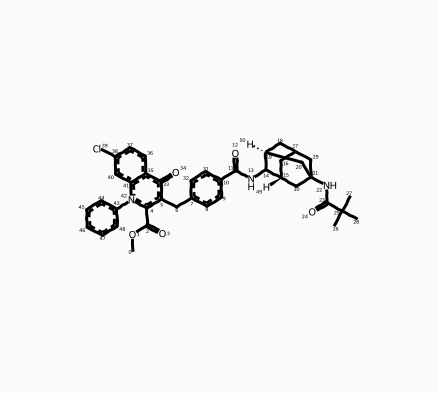 COC(=O)c1c(Cc2ccc(C(=O)NC3[C@@H]4CC5C[C@H]3CC(NC(=O)C(C)(C)C)(C5)C4)cc2)c(=O)c2ccc(Cl)cc2n1-c1ccccc1